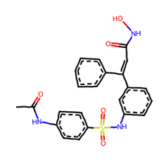 CC(=O)Nc1ccc(S(=O)(=O)Nc2cccc(C(=CC(=O)NO)c3ccccc3)c2)cc1